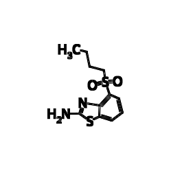 CCCCS(=O)(=O)c1cccc2sc(N)nc12